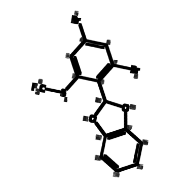 FC(F)(F)Sc1cc(Br)cc(Br)c1C1Oc2[c]cccc2O1